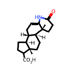 C[C@]12CCC(=O)NC1=CC[C@@H]1[C@@H]2CC[C@]2(C)C(C(=O)O)CC[C@@H]12